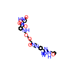 O=C1CCC(N2C(=O)c3cccc(NCCOCCOCCC(=O)N4CCN(c5ccc(-c6ncc(NCc7ccco7)n7cnnc67)cc5)CC4)c3C2=O)C(=O)N1